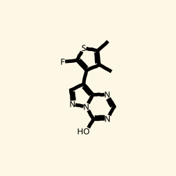 Cc1sc(F)c(-c2cnn3c(O)ncnc23)c1C